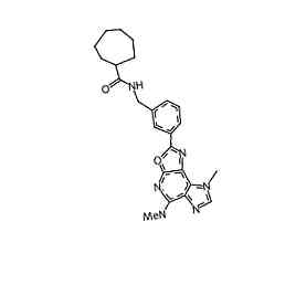 CNc1nc2oc(-c3cccc(CNC(=O)C4CCCCCC4)c3)nc2c2c1ncn2C